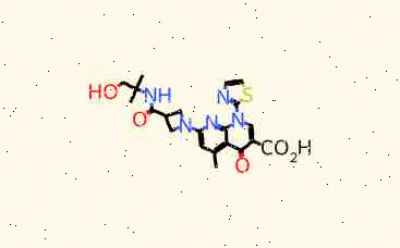 Cc1cc(N2CC(C(=O)NC(C)(C)CO)C2)nc2c1c(=O)c(C(=O)O)cn2-c1nccs1